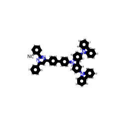 N#Cc1ccccc1-c1nc(-c2ccccc2)cc(-c2ccc(-c3ccc(-n4c5ccc(-n6c7ccccc7c7ccccc76)cc5c5cc(-n6c7ccccc7c7ccccc76)ccc54)cc3)cc2)n1